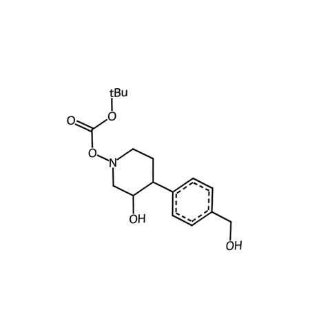 CC(C)(C)OC(=O)ON1CCC(c2ccc(CO)cc2)C(O)C1